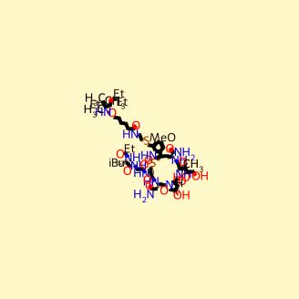 CCC(=O)N[C@H](C(=O)NCC(=O)N[C@H]1C[S+]([O-])c2[nH]c3c(CSCCNC(=O)CCCCCONC(C)(CCC(CC)CC)C(C)(C)CC)c(OC)ccc3c2C[C@@H](C(N)=O)NC(=O)[C@H]([C@@H](C)[C@@H](O)CO)NC(=O)[C@@H]2C[C@@H](O)CN2C(=O)[C@H](CC(N)=O)NC1=O)[C@@H](C)CC